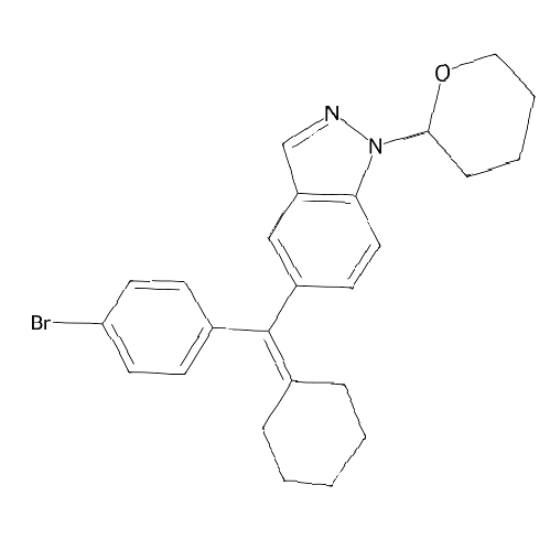 Brc1ccc(C(=C2CCCCC2)c2ccc3c(cnn3C3CCCCO3)c2)cc1